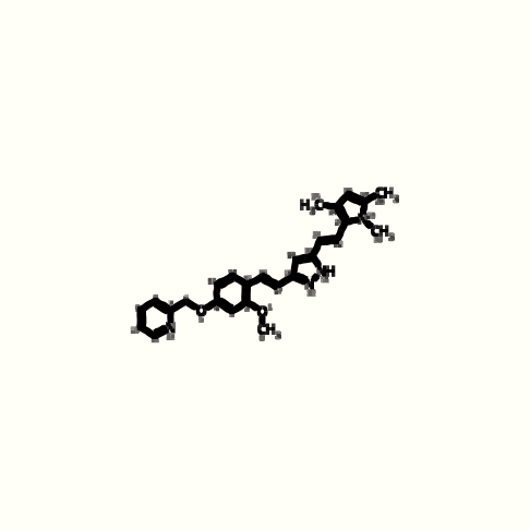 COc1cc(OCc2ccccn2)ccc1C=Cc1cc(/C=C/c2c(C)cc(C)n2C)[nH]n1